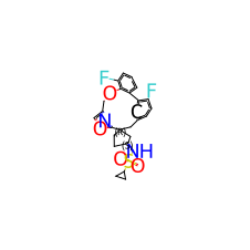 O=S(=O)(N[C@H]1CC[C@@]2(Cc3ccc(F)c(c3)-c3cccc(F)c3OCc3coc2n3)C1)C1CC1